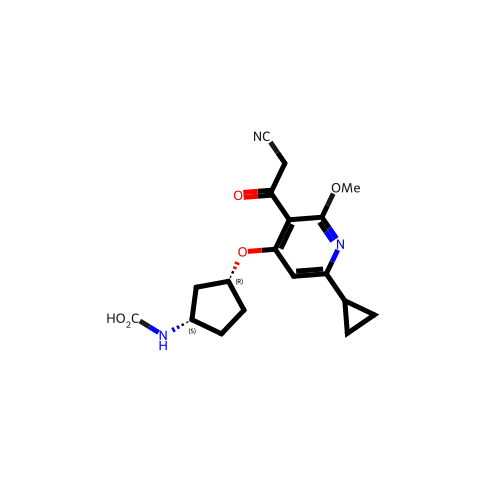 COc1nc(C2CC2)cc(O[C@@H]2CC[C@H](NC(=O)O)C2)c1C(=O)CC#N